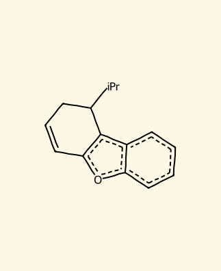 CC(C)C1CC=Cc2oc3ccccc3c21